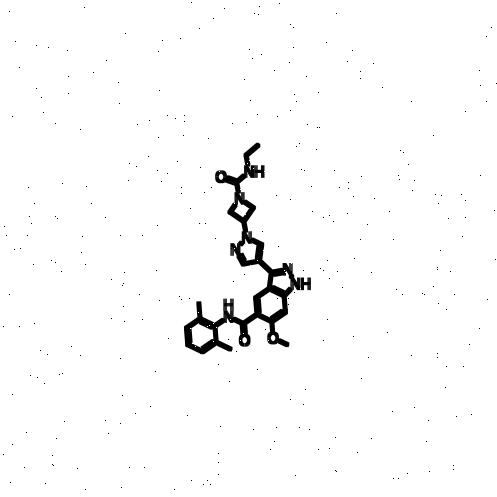 CCNC(=O)N1CC(n2cc(-c3n[nH]c4cc(OC)c(C(=O)Nc5c(C)cccc5C)cc34)cn2)C1